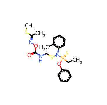 CCP(=S)(Oc1ccccc1)N(SCNC(=O)O/N=C(\C)SC)c1ccccc1C